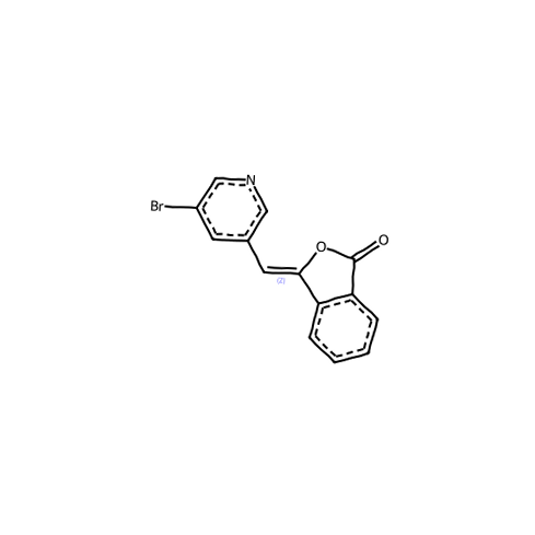 O=C1O/C(=C\c2cncc(Br)c2)c2ccccc21